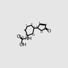 O=C1C=CC(C2CCCC(NC(=O)O)C2)C1